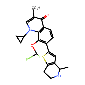 CC1NCCc2sc(-c3ccc4c(=O)c(C(=O)O)cn(C5CC5)c4c3OC(F)F)cc21